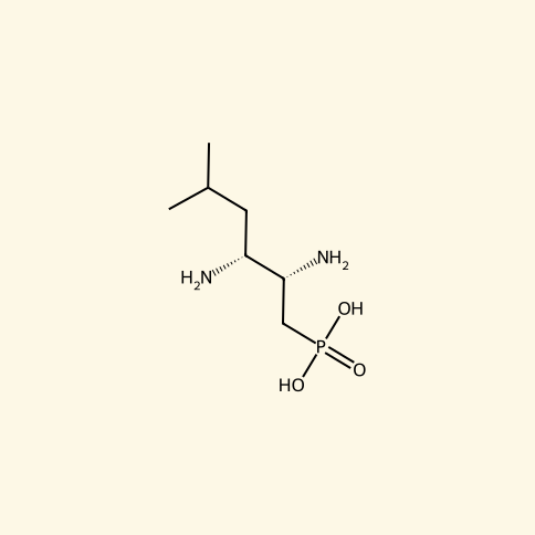 CC(C)C[C@@H](N)[C@H](N)CP(=O)(O)O